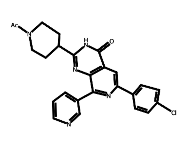 CC(=O)N1CCC(c2nc3c(-c4cccnc4)nc(-c4ccc(Cl)cc4)cc3c(=O)[nH]2)CC1